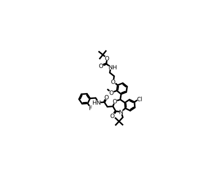 COc1c(OCCNC(=O)OC(C)(C)C)cccc1C1OC(CC(=O)NCc2ccccc2F)C(=O)N(CC(C)(C)C)c2ccc(Cl)cc21